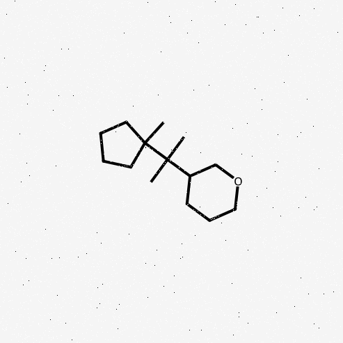 CC1(C(C)(C)C2CCCOC2)CCCC1